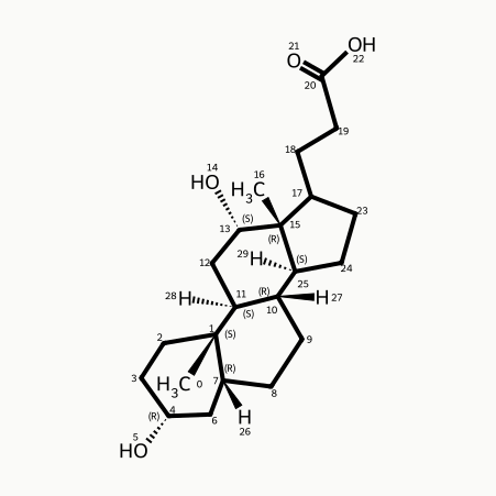 C[C@]12CC[C@@H](O)C[C@H]1CC[C@@H]1[C@@H]2C[C@H](O)[C@]2(C)C(CCC(=O)O)CC[C@@H]12